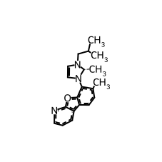 Cc1ccc2c(oc3ncccc32)c1N1C=CN(CC(C)C)[C@@H]1C